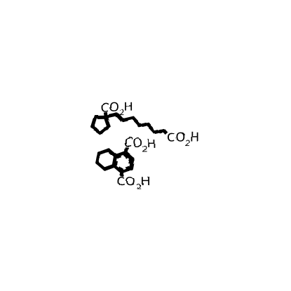 O=C(O)CCCCCCCC1(C(=O)O)CCCC1.O=C(O)c1ccc(C(=O)O)c2c1CCCC2